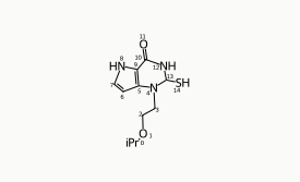 CC(C)OCCN1c2cc[nH]c2C(=O)NC1S